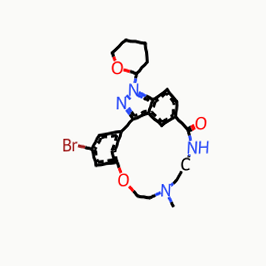 CN1CCNC(=O)c2ccc3c(c2)c(nn3C2CCCCO2)-c2cc(Br)cc(c2)OCC1